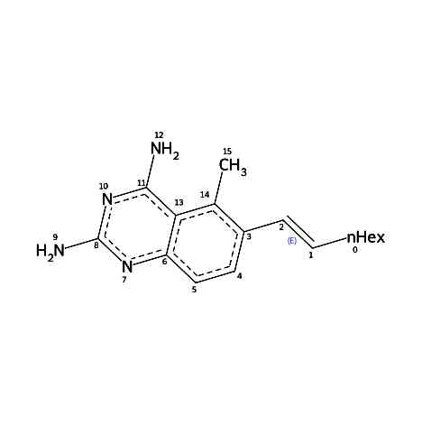 CCCCCC/C=C/c1ccc2nc(N)nc(N)c2c1C